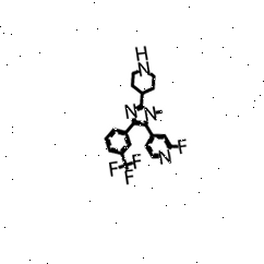 Cn1c(C2CCNCC2)nc(-c2cccc(C(F)(F)F)c2)c1-c1ccnc(F)c1